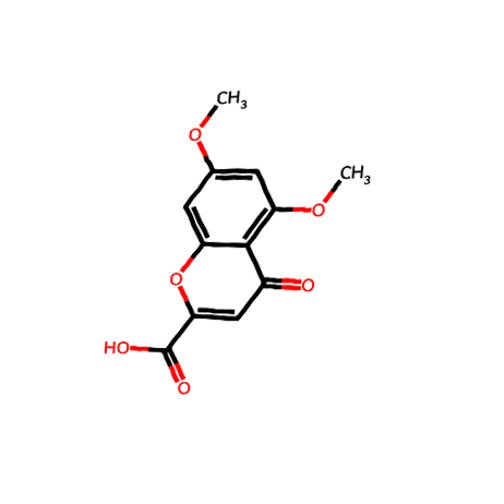 COc1cc(OC)c2c(=O)cc(C(=O)O)oc2c1